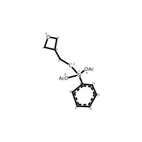 CC(=O)O[Si](CCC1COC1)(OC(C)=O)c1ccccc1